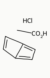 CC(=O)O.Cl.c1cc2ccc1-2